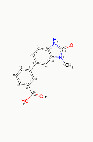 Cn1c(=O)[nH]c2ccc(-c3cccc(C(=O)O)c3)cc21